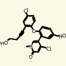 Cn1cc(-c2cc([N+](=O)[O-])ccc2Oc2ccc(Cl)cc2C#CCCO)c(Cl)cc1=O